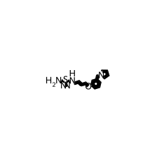 Nc1nnc(NCC=CCOc2cccc(CN3CCCC3)c2)s1